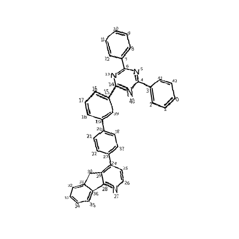 c1ccc(-c2nc(-c3ccccc3)nc(-c3cccc(-c4ccc(-c5ccnc6c5Cc5ccccc5-6)cc4)c3)n2)cc1